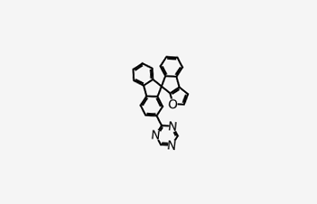 c1ccc2c(c1)-c1ccc(-c3ncncn3)cc1C21c2ccccc2-c2ccoc21